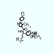 CCCC(NC(=O)c1cnn(-c2ccc(Cl)cc2)c1C)c1ccc(NS(C)(=O)=O)nc1